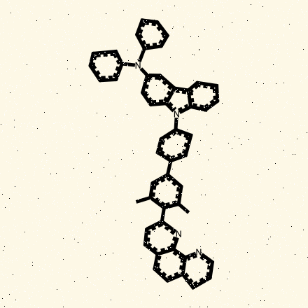 Cc1cc(-c2ccc(-n3c4ccccc4c4cc(N(c5ccccc5)c5ccccc5)ccc43)cc2)cc(C)c1-c1ccc2ccc3cccnc3c2n1